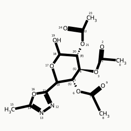 CC(=O)O[C@H]1[C@H](OC(C)=O)C(c2nnc(C)o2)OC(O)[C@@H]1OC(C)=O